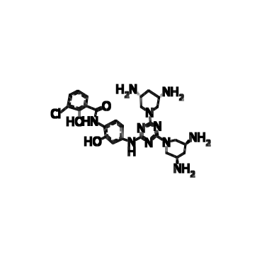 N[C@@H]1C[C@H](N)CN(c2nc(Nc3ccc(NC(=O)c4cccc(Cl)c4O)c(O)c3)nc(N3C[C@H](N)C[C@H](N)C3)n2)C1